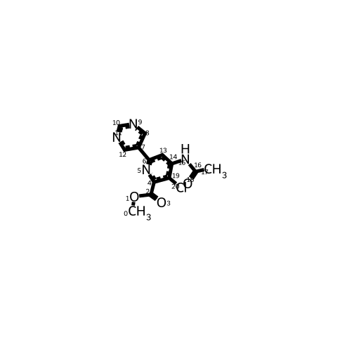 COC(=O)c1nc(-c2cncnc2)cc(NC(C)=O)c1Cl